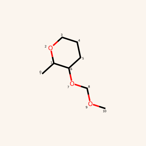 [CH2]C1OCCCC1OCOC